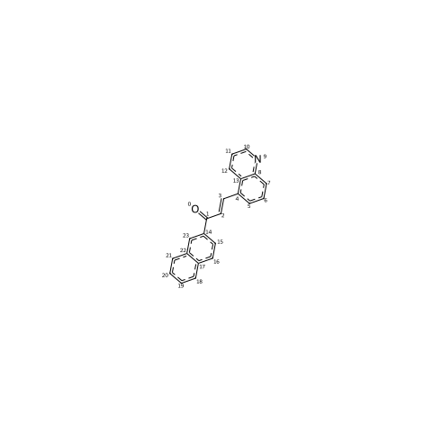 O=C(/C=C/c1cccc2ncccc12)c1ccc2ccccc2c1